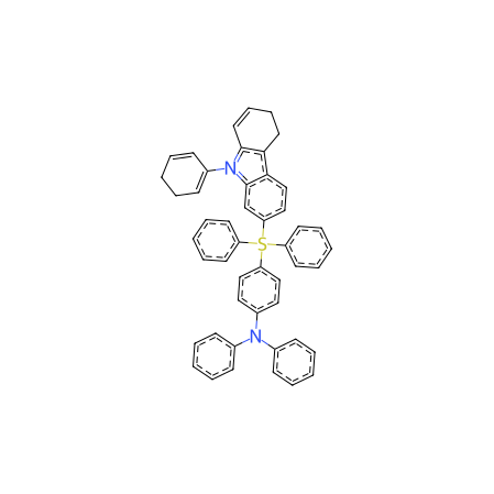 C1=CC(n2c3c(c4ccc(S(c5ccccc5)(c5ccccc5)c5ccc(N(c6ccccc6)c6ccccc6)cc5)cc42)CCC=C3)=CCC1